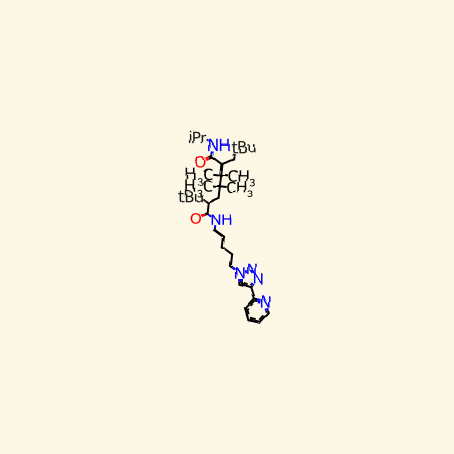 CC(C)NC(=O)C(CC(C)(C)C)C(C)(C)C(C)(C)CC(C(=O)NCCCCCn1cc(-c2ccccn2)nn1)C(C)(C)C